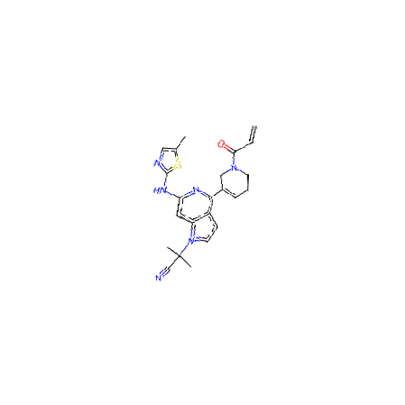 C=CC(=O)N1CCC=C(c2nc(Nc3ncc(C)s3)cc3c2ccn3C(C)(C)C#N)C1